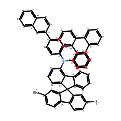 CC(C)(C)c1ccc2c(c1)C1(c3cc(C(C)(C)C)ccc3-2)c2ccccc2-c2c(N(c3ccc(-c4ccc5ccccc5c4)cc3)c3ccccc3-c3ccccc3-c3ccccc3-c3ccccc3)cccc21